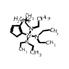 CC[N](CC)[Zr]([C]1=[C]([GeH2][F])C=CC1)([N](CC)CC)[N](CC)CC